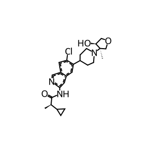 C[C@@H](C(=O)Nc1cc2cc(C3CCN([C@]4(C)COC[C@@H]4O)CC3)c(Cl)cc2cn1)C1CC1